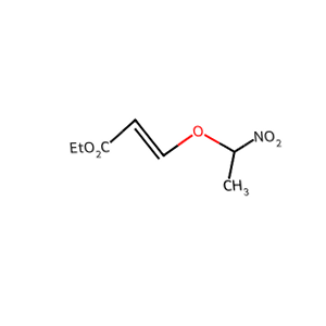 CCOC(=O)C=COC(C)[N+](=O)[O-]